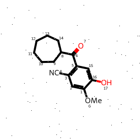 COc1cc(C#N)c(C(=O)C2CCCCCC2)cc1O